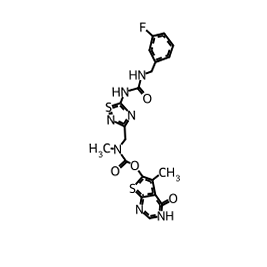 Cc1c(OC(=O)N(C)Cc2nsc(NC(=O)NCc3cccc(F)c3)n2)sc2nc[nH]c(=O)c12